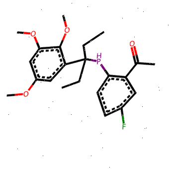 CCC(CC)(Pc1ccc(F)cc1C(C)=O)c1cc(OC)cc(OC)c1OC